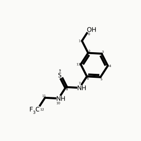 OCc1cccc(NC(=S)NCC(F)(F)F)c1